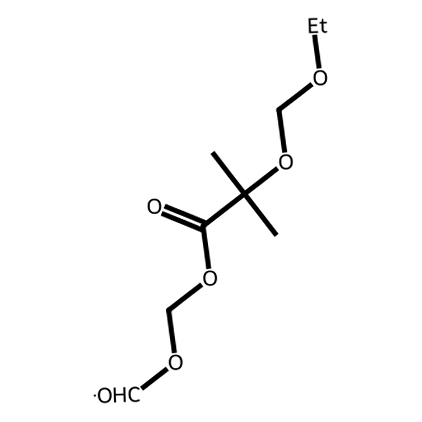 CCOCOC(C)(C)C(=O)OCO[C]=O